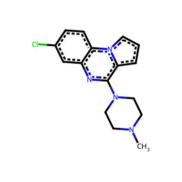 CN1CCN(c2nc3cc(Cl)ccc3n3cccc23)CC1